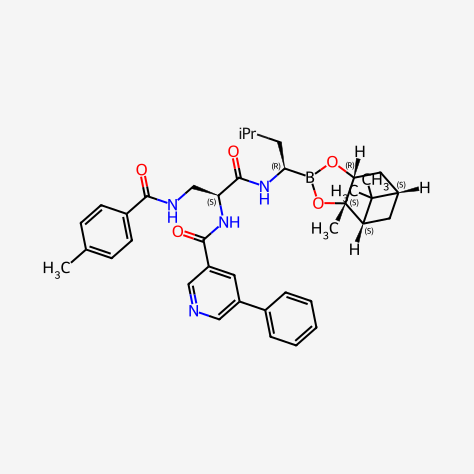 Cc1ccc(C(=O)NC[C@H](NC(=O)c2cncc(-c3ccccc3)c2)C(=O)N[C@@H](CC(C)C)B2O[C@@H]3C[C@@H]4C[C@@H](C4(C)C)[C@]3(C)O2)cc1